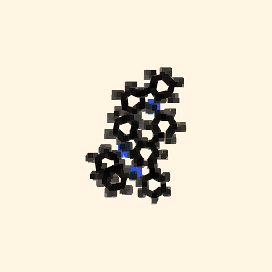 c1ccc(-n2c3ccccc3c3cc(-c4cccc(-n5c6ccccc6c6ccccc65)c4)c4c5ccccc5n(-c5ccccc5)c4c32)cc1